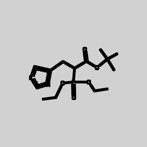 CCOP(=O)(OCC)C(Cc1cscn1)C(=O)OC(C)(C)C